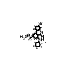 COC(=O)c1cc(-c2ccc(Br)cc2)c(C(N)=O)c(NC2CCCCC2)n1